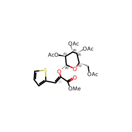 COC(=O)/C(=C/c1cccs1)O[C@H]1O[C@@H](COC(C)=O)[C@@H](OC(C)=O)[C@@H](OC(C)=O)[C@@H]1OC(C)=O